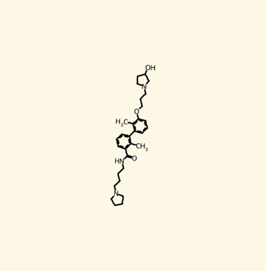 Cc1c(OCCCN2CCC(O)C2)cccc1-c1cccc(C(=O)NCCCCN2CCCC2)c1C